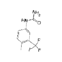 Cc1ccc(NC(N)=O)cc1C(F)(F)F